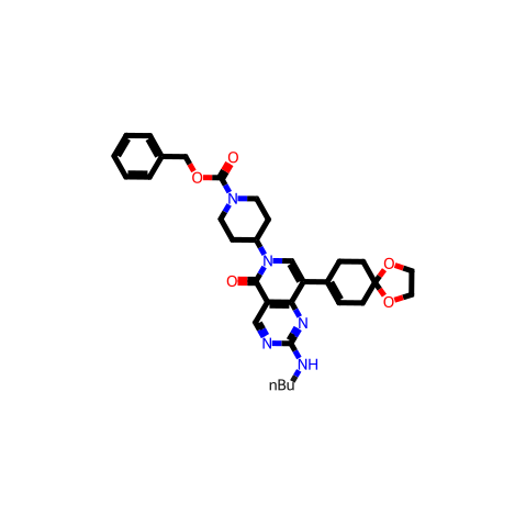 CCCCNc1ncc2c(=O)n(C3CCN(C(=O)OCc4ccccc4)CC3)cc(C3=CCC4(CC3)OCCO4)c2n1